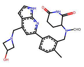 Cc1ccc(-c2cc(CN3CC(O)C3)c3cc[nH]c3n2)cc1CN(C=O)C1CCC(=O)NC1=O